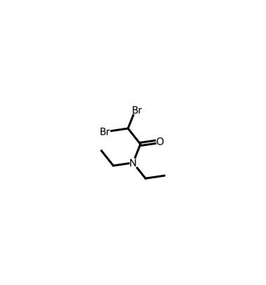 CCN(CC)C(=O)C(Br)Br